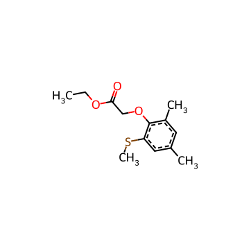 CCOC(=O)COc1c(C)cc(C)cc1SC